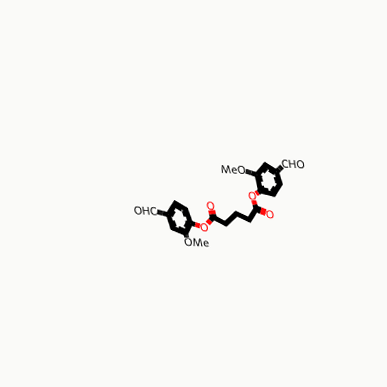 COc1cc(C=O)ccc1OC(=O)CCCC(=O)Oc1ccc(C=O)cc1OC